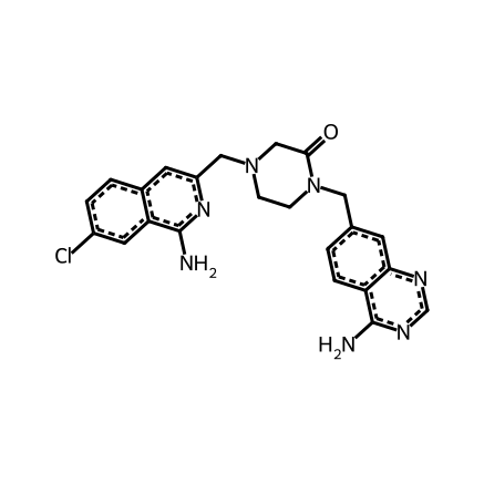 Nc1nc(CN2CCN(Cc3ccc4c(N)ncnc4c3)C(=O)C2)cc2ccc(Cl)cc12